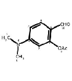 CC(=O)Oc1cc(N(C)C)ccc1C=O